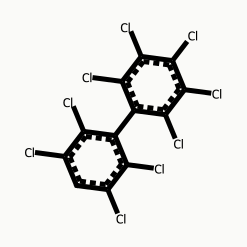 Clc1cc(Cl)c(Cl)c(-c2c(Cl)c(Cl)c(Cl)c(Cl)c2Cl)c1Cl